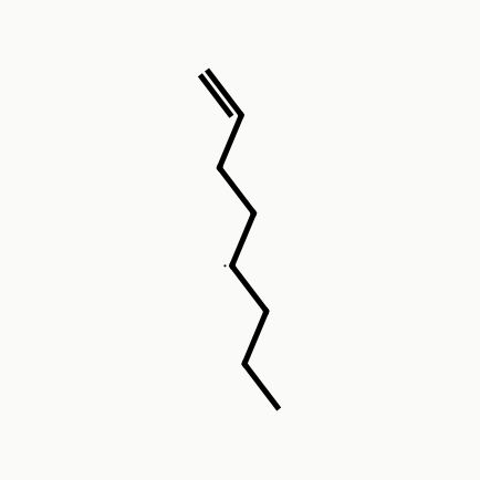 C=CCC[CH]CCC